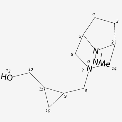 CNN1C2CCC1CN(CC1CC1CO)C2